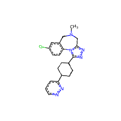 CN1Cc2cc(Cl)ccc2-n2c(nnc2C2CCC(c3cccnn3)CC2)C1